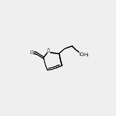 O=C1C=CC(CO)O1